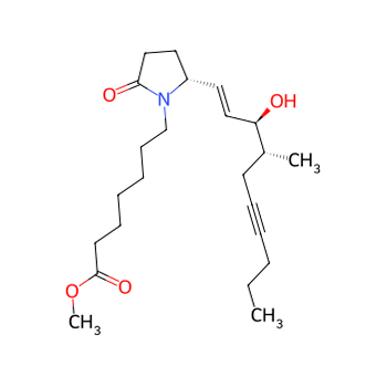 CCCC#CC[C@@H](C)[C@H](O)C=C[C@H]1CCC(=O)N1CCCCCCC(=O)OC